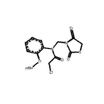 CCCCOc1ccccc1N(CN1C(=O)CSC1=O)C(=O)CCl